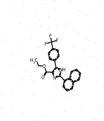 CCOC(=O)c1nc(-c2cccc3ccccc23)[nH]c1-c1ccc(C(F)(F)F)cc1